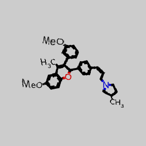 COc1cccc(C2=C(C)c3cc(OC)ccc3OC2c2ccc(/C=C\CN3CC[C@@H](C)C3)cc2)c1